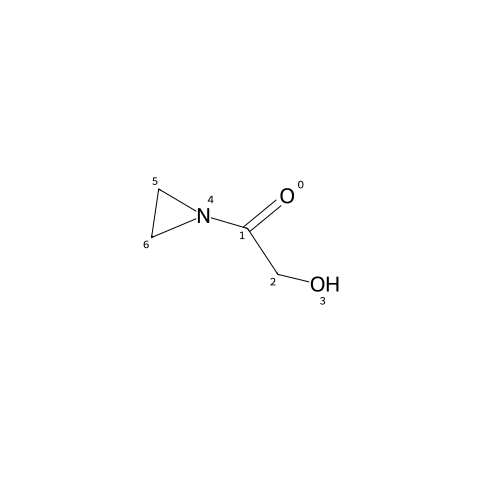 O=C(CO)N1CC1